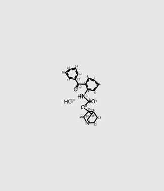 Cl.O=C(Nc1ccccc1C(=O)c1ccccc1)OC1CN2CCC1CC2